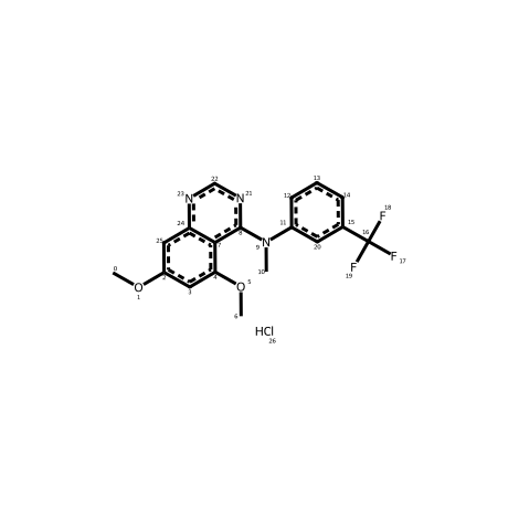 COc1cc(OC)c2c(N(C)c3cccc(C(F)(F)F)c3)ncnc2c1.Cl